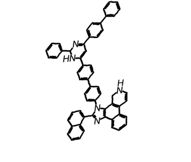 C1=Cc2c(c3c(nc(-c4cccc5ccccc45)n3-c3ccc(-c4ccc(C5=CC(c6ccc(-c7ccccc7)cc6)=NC(c6ccccc6)N5)cc4)cc3)c3ccccc23)CN1